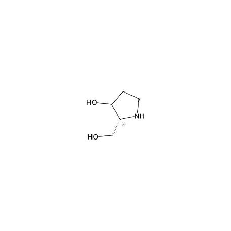 OC[C@H]1NCCC1O